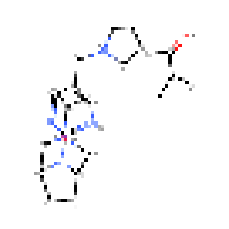 CC(C)C(=O)[C@@H]1CCN(Cc2cnc(N3C4CCC3CN(C(C)C)C4)nc2)C1